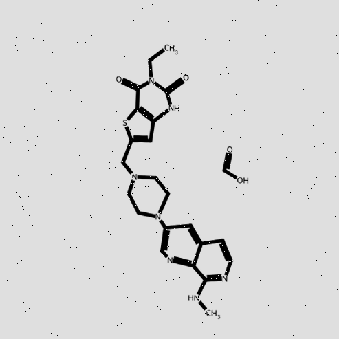 CCn1c(=O)[nH]c2cc(CN3CCN(c4cnc5c(NC)nccc5c4)CC3)sc2c1=O.O=CO